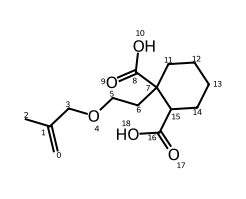 C=C(C)COCCC1(C(=O)O)CCCCC1C(=O)O